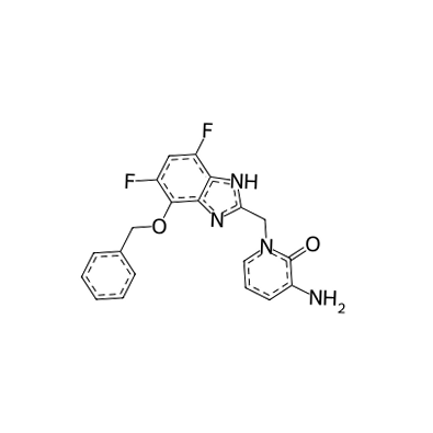 Nc1cccn(Cc2nc3c(OCc4ccccc4)c(F)cc(F)c3[nH]2)c1=O